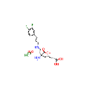 Cl.Cl.NC(CCCCB(O)O)(CCNCCCc1ccc(F)c(F)c1)C(=O)O.O